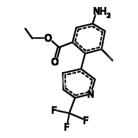 CCOC(=O)c1cc(N)cc(C)c1-c1ccc(C(F)(F)F)nc1